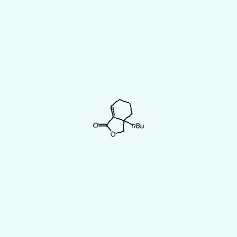 CCCCC12CCCC=C1C(=O)OC2